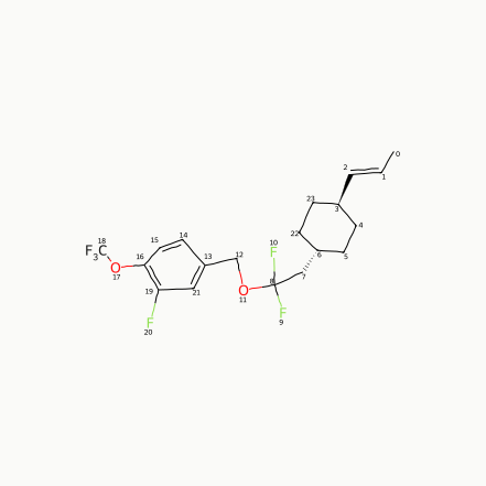 CC=C[C@H]1CC[C@H](CC(F)(F)OCc2ccc(OC(F)(F)F)c(F)c2)CC1